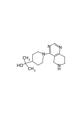 CC(C)(O)C1CCN(c2ncnc3c2CNCC3)CC1